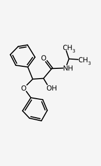 CC(C)NC(=O)C(O)C(Oc1ccccc1)c1ccccc1